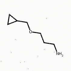 NCCCOCC1CC1